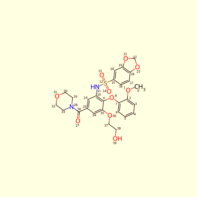 COc1ccccc1Oc1c(NS(=O)(=O)c2ccc3c(c2)OCO3)cc(C(=O)N2CCOCC2)cc1OCCO